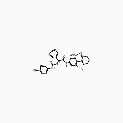 CO/N=C1/CCCCN1c1ccc(NC(=O)[C@@H](OC(=O)Nc2ccc(Cl)cc2)c2ccccc2)cc1C